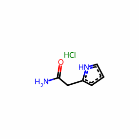 Cl.NC(=O)Cc1ccc[nH]1